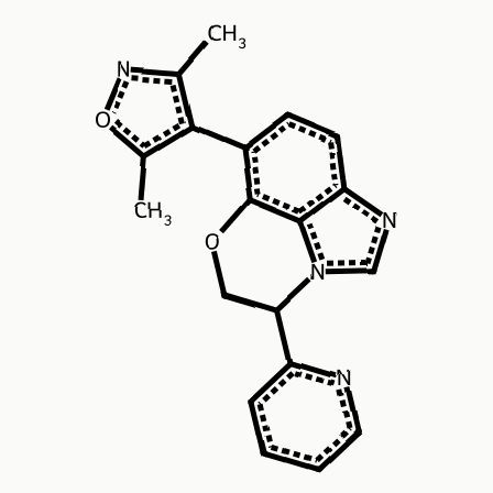 Cc1noc(C)c1-c1ccc2ncn3c2c1OCC3c1ccccn1